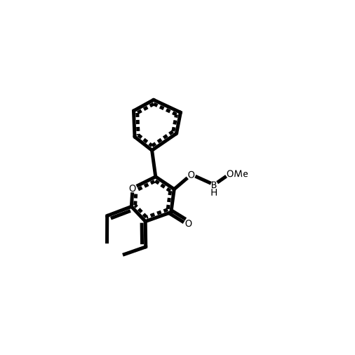 C/C=c1/oc(-c2ccccc2)c(OBOC)c(=O)/c1=C/C